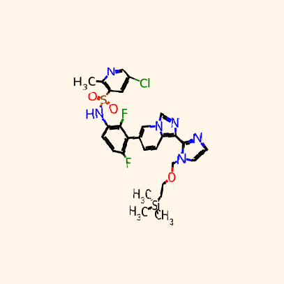 Cc1ncc(Cl)cc1S(=O)(=O)Nc1ccc(F)c(-c2ccc3c(-c4nccn4COCC[Si](C)(C)C)ncn3c2)c1F